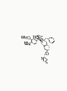 COc1cc(C(=O)N2Cc3cc(OCc4cscn4)ccc3CC2(Cc2ccccc2)C(=O)O)ccc1C(C)(C)C